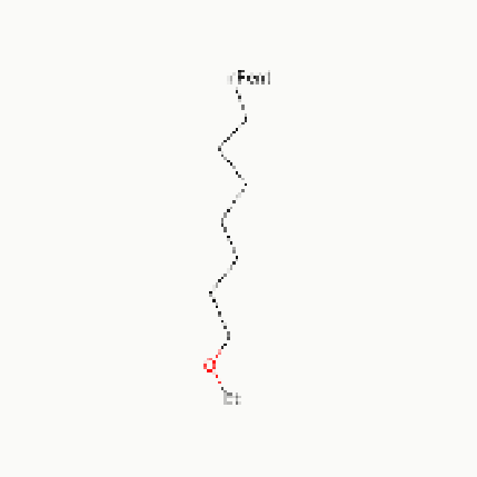 [CH2]COCCCCCCCCCCCC